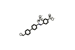 O=Cc1ccc(-c2ccc(/C=C/c3ccc([N+](=O)[O-])cc3[N+](=O)[O-])cc2)cc1